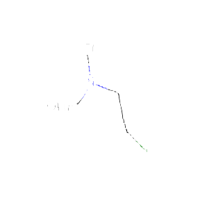 CCN(C=O)CCF